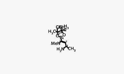 CN/C(=C\C(C)N)B1OC(C)(C)C(C)(C)O1